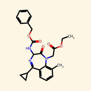 CCOC(=O)CN1C(=O)C(NC(=O)OCc2ccccc2)N=C(C2CC2)c2cccc(C)c21